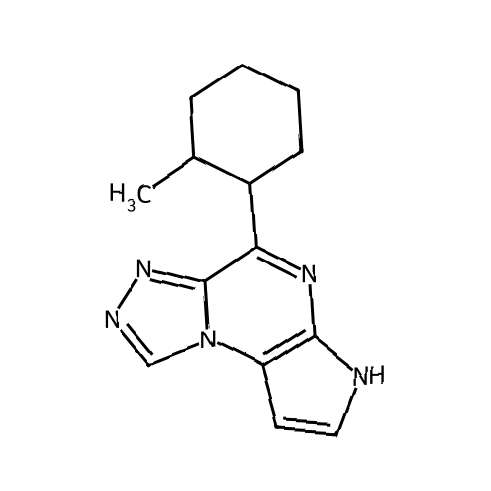 CC1CCCCC1c1nc2[nH]ccc2n2cnnc12